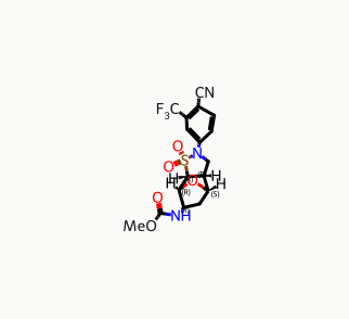 COC(=O)N[C@@H]1C[C@@H]2O[C@H]1[C@H]1[C@@H]2CN(c2ccc(C#N)c(C(F)(F)F)c2)S1(=O)=O